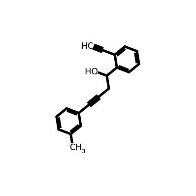 C#Cc1ccccc1C(O)CC#Cc1cccc(C)c1